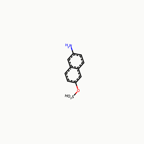 Nc1ccc2cc(OS(=O)(=O)O)ccc2c1